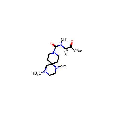 CCCN1CCN(C(=O)O)CC12CCN(C(=O)N(C)[C@H](C(=O)OC)C(C)C)CC2